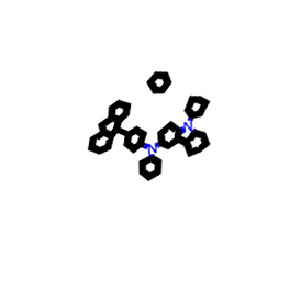 c1ccc(N(c2ccc(-c3c4ccccc4cc4ccccc34)cc2)c2ccc3c(c2)c2ccccc2n3-c2ccccc2)cc1.c1ccccc1